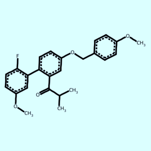 COc1ccc(COc2ccc(-c3cc(OC)ccc3F)c(C(=O)C(C)C)c2)cc1